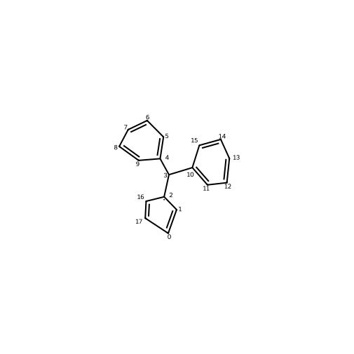 C1=C[C](C(c2ccccc2)c2ccccc2)C=C1